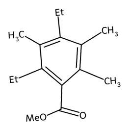 CCc1c(C)c(C)c(C(=O)OC)c(CC)c1C